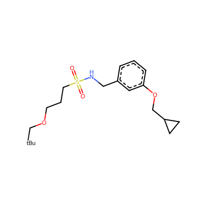 CC(C)(C)COCCCS(=O)(=O)NCc1cccc(OCC2CC2)c1